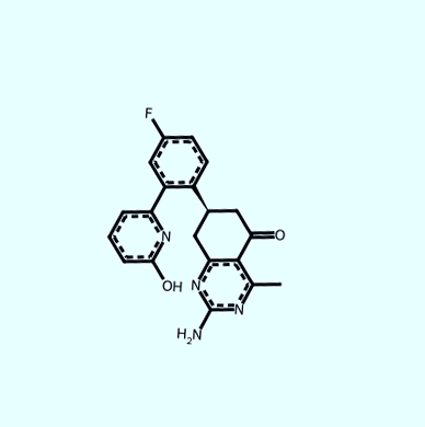 Cc1nc(N)nc2c1C(=O)C[C@H](c1ccc(F)cc1-c1cccc(O)n1)C2